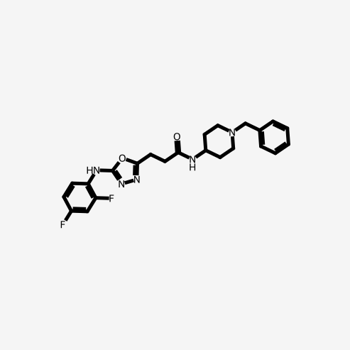 O=C(CCc1nnc(Nc2ccc(F)cc2F)o1)NC1CCN(Cc2ccccc2)CC1